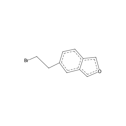 BrCCc1ccc2cocc2c1